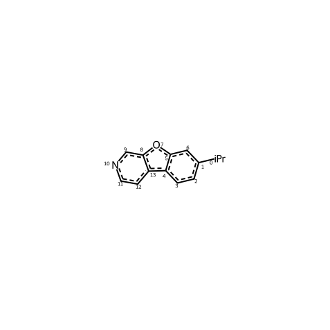 CC(C)c1ccc2c(c1)oc1cnccc12